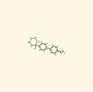 CC1(c2ccc(-c3ccc(C(F)(F)F)cc3)cc2)CCCCC1